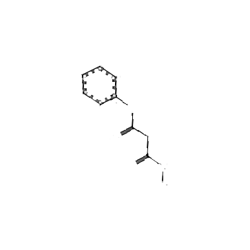 CCNC(=O)CC(=O)Oc1ccccc1